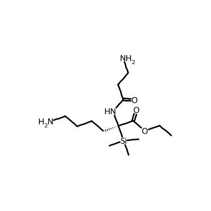 CCOC(=O)[C@](CCCCN)(NC(=O)CCN)[Si](C)(C)C